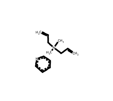 C=CC[N+](C)(C)CC=C.c1ccncc1